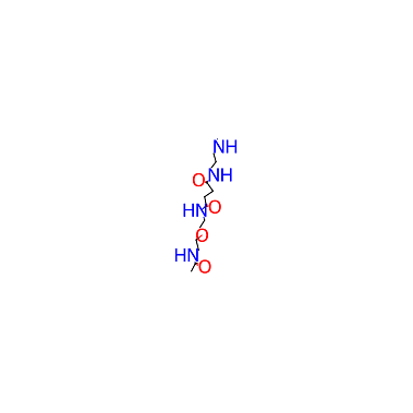 CNCCCNC(=O)CCC(=O)NCCOCCNC(C)=O